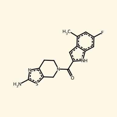 Cc1cc(F)cc2[nH]c(C(=O)N3CCc4nc(N)sc4C3)cc12